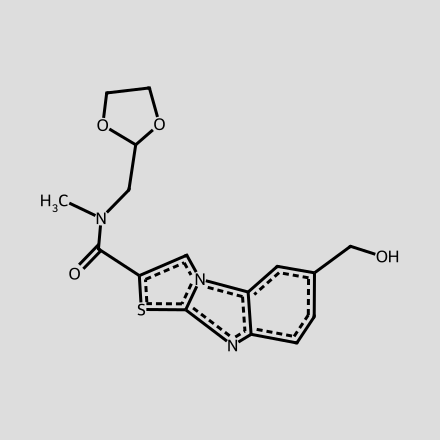 CN(CC1OCCO1)C(=O)c1cn2c(nc3ccc(CO)cc32)s1